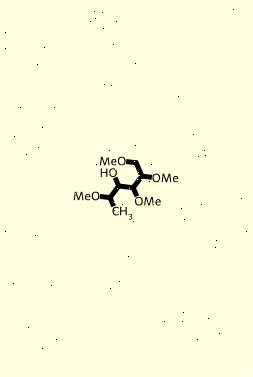 COCC(OC)C(OC)C(O)C(C)OC